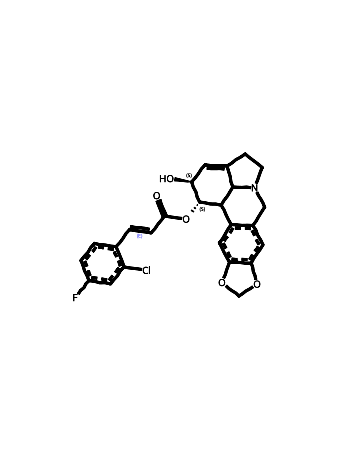 O=C(/C=C/c1ccc(F)cc1Cl)O[C@H]1C2c3cc4c(cc3CN3CCC(=C[C@@H]1O)C23)OCO4